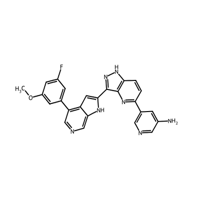 COc1cc(F)cc(-c2cncc3[nH]c(-c4n[nH]c5ccc(-c6cncc(N)c6)nc45)cc23)c1